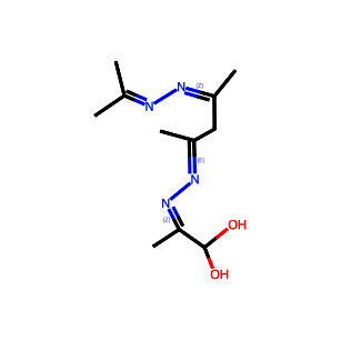 CC(C)=N/N=C(/C)C/C(C)=N/N=C(/C)C(O)O